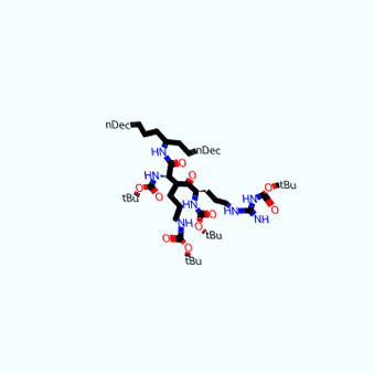 CCCCCCCCCCCCCC(CCCCCCCCCCCC)NC(=O)[C@@H](NC(=O)OC(C)(C)C)C(CCCNC(=O)OC(C)(C)C)C(=O)[C@H](CCCNC(=N)NC(=O)OC(C)(C)C)NC(=O)OC(C)(C)C